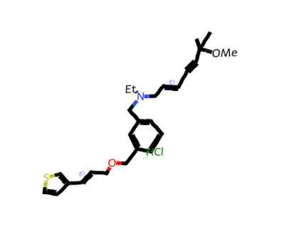 CCN(C/C=C/C#CC(C)(C)OC)Cc1cccc(COC/C=C/c2ccsc2)c1.Cl